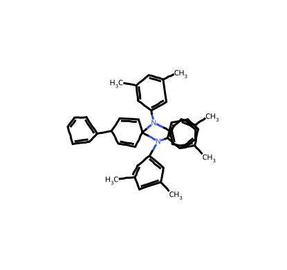 Cc1cccc(N(c2cc(C)cc(C)c2)C2(N(c3cccc(C)c3)c3cc(C)cc(C)c3)C=CC(c3ccccc3)C=C2)c1